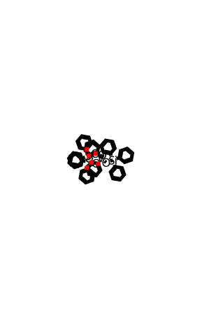 [O]=[V]([O][Si](c1ccccc1)(c1ccccc1)c1ccccc1)([O][Si](c1ccccc1)(c1ccccc1)c1ccccc1)[O][Si](c1ccccc1)(c1ccccc1)c1ccccc1